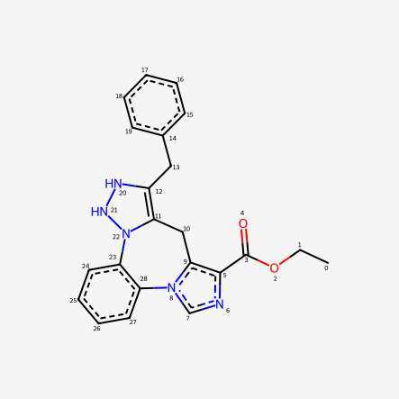 CCOC(=O)c1ncn2c1CC1=C(Cc3ccccc3)NNN1c1ccccc1-2